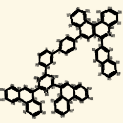 c1cc(-c2ccc(-c3cc4c(-c5ccc6ccccc6c5)nc5ccccc5c4c4ccccc34)cc2)cc(-c2nc(-c3cc4ccccc4c4ccccc34)nc(-c3cc4ccccc4c4ccccc34)n2)c1